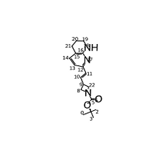 CC(C)(C)OC(=O)N1CC(C=Cc2ccc3c(n2)NCCC3)C1